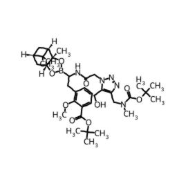 COc1c(CC(NC(=O)Cn2nnc(CN(C)C(=O)OC(C)(C)C)c2CO)B2O[C@@H]3C[C@@H]4C[C@@H](C4(C)C)[C@]3(C)O2)cccc1C(=O)OC(C)(C)C